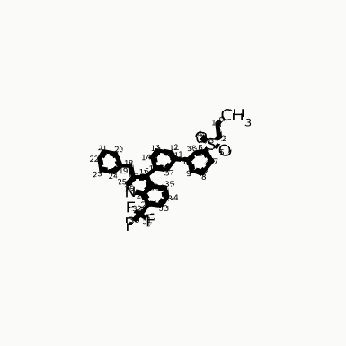 CCCS(=O)(=O)c1cccc(-c2cccc(-c3c(Cc4ccccc4)cnc4c(C(F)(F)F)cccc34)c2)c1